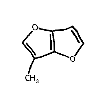 Cc1coc2ccoc12